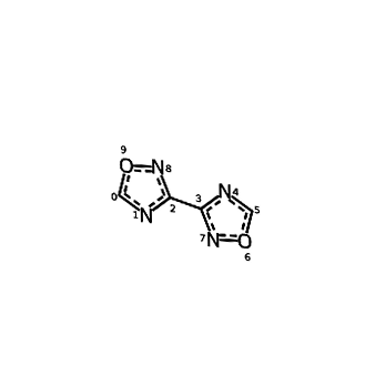 c1nc(-c2ncon2)no1